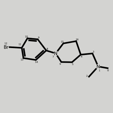 CN(C)CC1CCN(c2ccc(Br)cc2)CC1